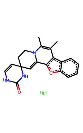 CC1=C(C)N2CCC3(C=CNC(=O)N3)C=C2c2oc3ccccc3c21.Cl